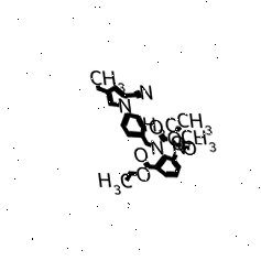 CCOC(=O)c1cccc([N+](=O)[O-])c1N(Cc1ccc(-n2cc(CC)cc2C#N)cc1)C(=O)OC(C)(C)C